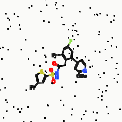 COc1cc(-c2cc(F)cc(C(C)C)c2CC(=O)NS(=O)(=O)c2cc(C(C)C)cs2)ccn1